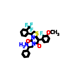 COc1cccc(-c2c3n(c(=O)n(CC(N)c4ccccc4)c2=O)C(c2ccccc2C(F)(F)F)CS3)c1F